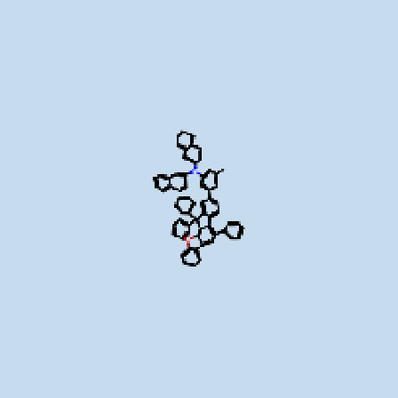 Cc1cc(-c2ccc3c(c2)C(c2ccccc2)(c2ccccc2)c2c-3c(-c3ccccc3)cc3c2oc2ccccc23)cc(N(c2ccc3ccccc3c2)c2ccc3ccccc3c2)c1